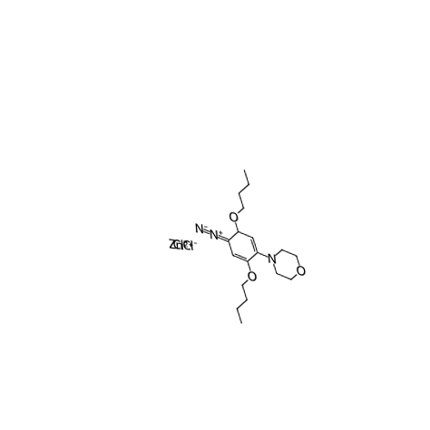 CCCCOC1=CC(=[N+]=[N-])C(OCCCC)C=C1N1CCOCC1.[Cl-].[Cl-].[Zn+2]